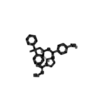 CC(C)(C)OC(=O)N1CCC[C@H]1C[C@@H](C[Si](C)(c1ccccc1)c1ccccc1)OC(=O)c1ccc([N+](=O)[O-])cc1